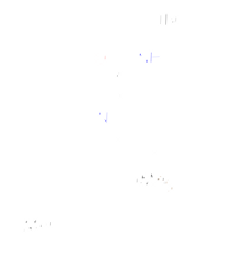 COc1cc2c(c(OC)c1)-c1c(-c3ccsc3)cc(C(=O)NCC(C)(C)C)n1CC2